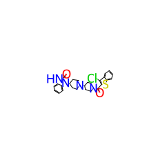 O=C(c1sc2ccccc2c1Cl)N1CCC(N2CCC(n3c(=O)[nH]c4ccccc43)CC2)CC1